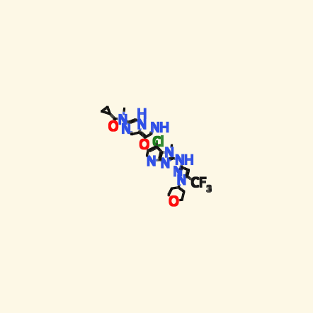 CN(C(=O)C1CC1)C1=CN/C(=C(\C=N)Oc2cnc3nc(Nc4cc(C(F)(F)F)n(C5CCOCC5)n4)n(C)c3c2Cl)C=N1